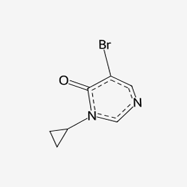 O=c1c(Br)cncn1C1CC1